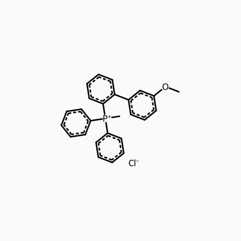 COc1cccc(-c2ccccc2[P+](C)(c2ccccc2)c2ccccc2)c1.[Cl-]